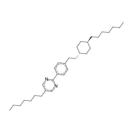 CCCCCCCc1cnc(-c2ccc(CC[C@H]3CC[C@H](CCCCCCC)CC3)cc2)nc1